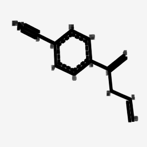 C=CCC(=C)c1ccc(C#N)cc1